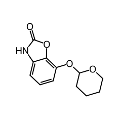 O=c1[nH]c2cccc(OC3CCCCO3)c2o1